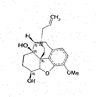 C=CCN1CC[C@@]23c4c5ccc(OC)c4OC2[C@@H](O)CC[C@]3(O)[C@@H]1C5